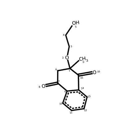 CC1(OCCO)CC(=O)c2ccccc2C1=O